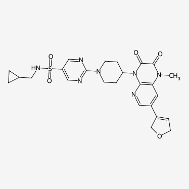 Cn1c(=O)c(=O)n(C2CCN(c3ncc(S(=O)(=O)NCC4CC4)cn3)CC2)c2ncc(C3=CCOC3)cc21